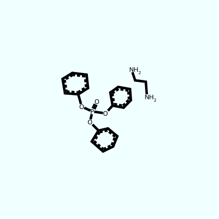 NCCN.O=P(Oc1ccccc1)(Oc1ccccc1)Oc1ccccc1